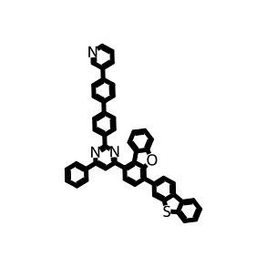 c1ccc(-c2cc(-c3ccc(-c4ccc5c(c4)sc4ccccc45)c4oc5ccccc5c34)nc(-c3ccc(-c4ccc(-c5cccnc5)cc4)cc3)n2)cc1